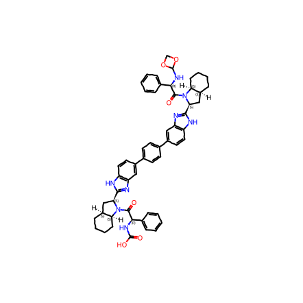 O=C(O)N[C@@H](C(=O)N1[C@H](c2nc3cc(-c4ccc(-c5ccc6[nH]c([C@@H]7C[C@@H]8CCCC[C@@H]8N7C(=O)[C@H](NC7OCO7)c7ccccc7)nc6c5)cc4)ccc3[nH]2)C[C@@H]2CCCC[C@@H]21)c1ccccc1